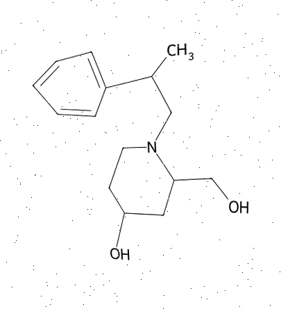 CC(CN1CCC(O)CC1CO)c1ccccc1